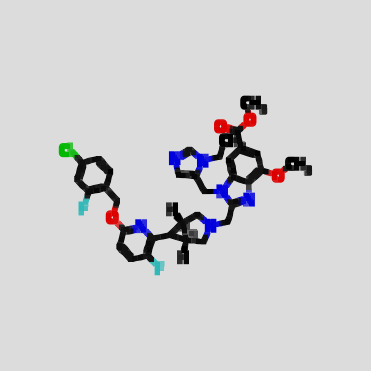 CCn1cncc1Cn1c(CN2C[C@@H]3C(c4nc(OCc5ccc(Cl)cc5F)ccc4F)[C@@H]3C2)nc2c(OC)cc(C(=O)OC)cc21